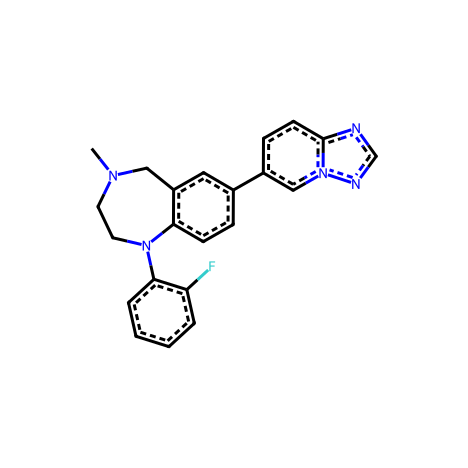 CN1CCN(c2ccccc2F)c2ccc(-c3ccc4ncnn4c3)cc2C1